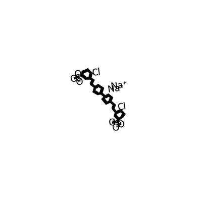 O=S(=O)([O-])c1ccc(Cl)c(C=Cc2ccc(-c3ccc(C=Cc4cc(S(=O)(=O)[O-])ccc4Cl)cc3)cc2)c1.[Na+].[Na+]